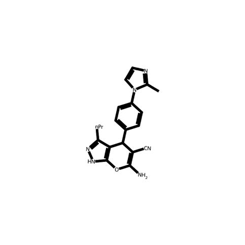 CCCc1n[nH]c2c1C(c1ccc(-n3ccnc3C)cc1)C(C#N)=C(N)O2